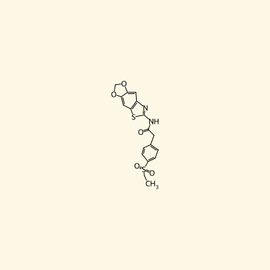 CCS(=O)(=O)c1ccc(CC(=O)Nc2nc3cc4c(cc3s2)OCO4)cc1